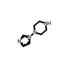 c1cn(N2CCNCC2)cn1